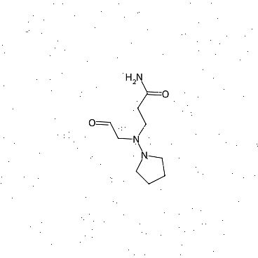 NC(=O)CCN(CC=O)N1CCCC1